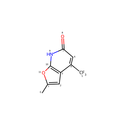 Cc1cc2c(C(F)(F)F)cc(=O)[nH]c2o1